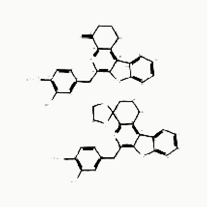 COc1ccc(Cc2nc3c(c4c2[nH]c2ccccc24)CCCC32OCCO2)cc1F.COc1ccc(Cc2nc3c(c4c2[nH]c2ccccc24)CCCC3=O)cc1F